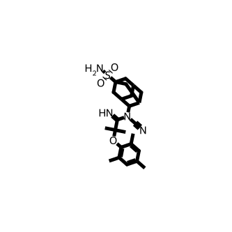 Cc1cc(C)c(OC(C)(C)C(=N)N(C#N)C2C3CC4CC2CC(S(N)(=O)=O)(C4)C3)c(C)c1